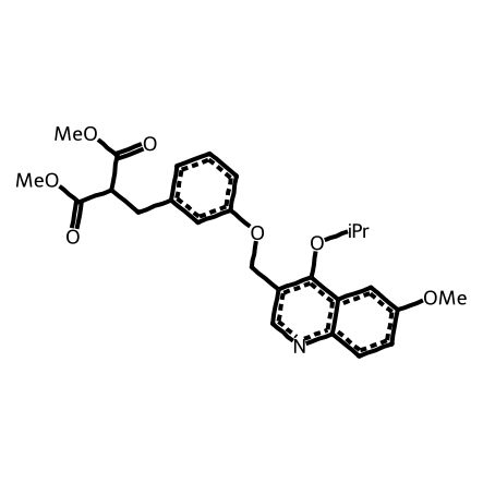 COC(=O)C(Cc1cccc(OCc2cnc3ccc(OC)cc3c2OC(C)C)c1)C(=O)OC